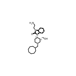 NCCn1c(=O)n([C@H]2CCN(CC3CCCCCCC3)C[C@H]2CO)c2ccccc21